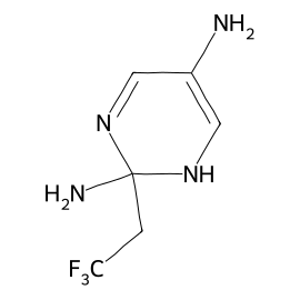 NC1=CNC(N)(CC(F)(F)F)N=C1